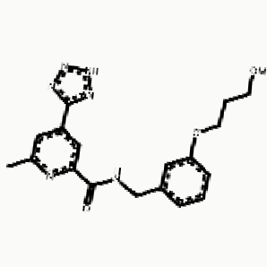 COCCCOc1cccc(CNC(=O)c2cc(-c3nn[nH]n3)cc(C)n2)c1